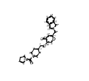 O=C(N1CCCC1)N1CCC(COc2coc(CN3Cc4ccccc4C3)cc2=O)CC1